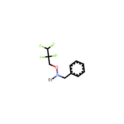 CCN(Cc1ccccc1)OCC(F)(F)C(F)F